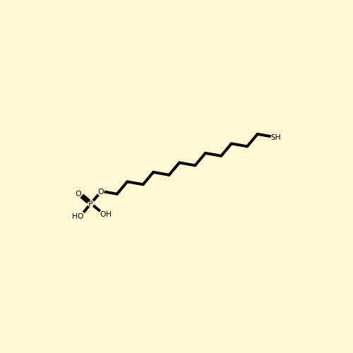 O=P(O)(O)OCCCCCCCCCCCCS